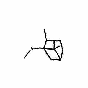 CSC12CC(CCC1C)C2(C)C